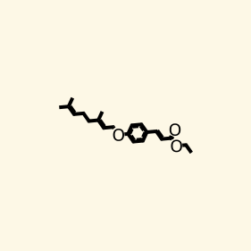 CCOC(=O)/C=C/c1ccc(OC/C=C(\C)CCC=C(C)C)cc1